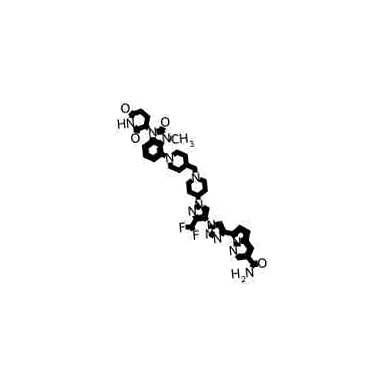 Cn1c(=O)n(C2CCC(=O)NC2=O)c2cccc(N3CCC(CN4CCC(n5cc(-n6cc(-c7ccc8cc(C(N)=O)cnn78)nn6)c(C(F)F)n5)CC4)CC3)c21